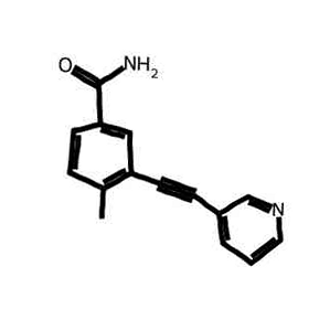 Cc1ccc(C(N)=O)cc1C#Cc1cccnc1